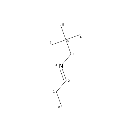 CCC=NCC(C)(C)C